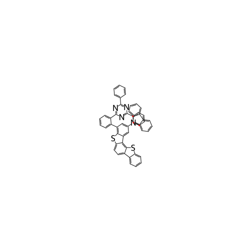 c1ccc(-c2nc(-c3ccccc3)nc(-c3ccccc3-c3cc(-n4c5ccccc5c5ccccc54)cc4c3sc3ccc5c6ccccc6sc5c34)n2)cc1